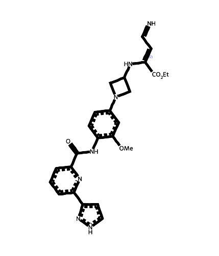 CCOC(=O)/C(=C/C=N)NC1CN(c2ccc(NC(=O)c3cccc(-c4cc[nH]n4)n3)c(OC)c2)C1